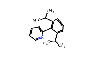 CC(C)c1cccc(C(C)C)c1-c1ccccn1